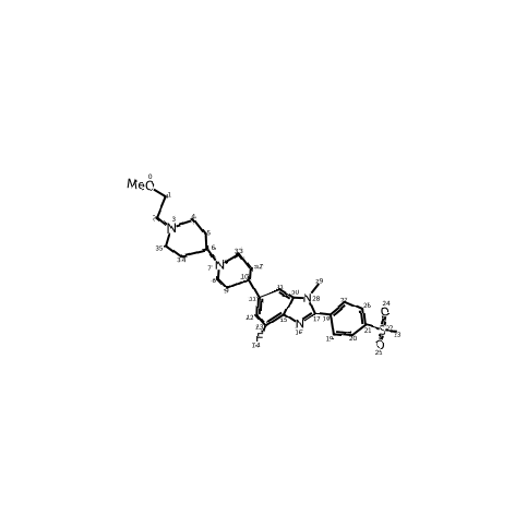 COCCN1CCC(N2CCC(c3cc(F)c4nc(-c5ccc(S(C)(=O)=O)cc5)n(C)c4c3)CC2)CC1